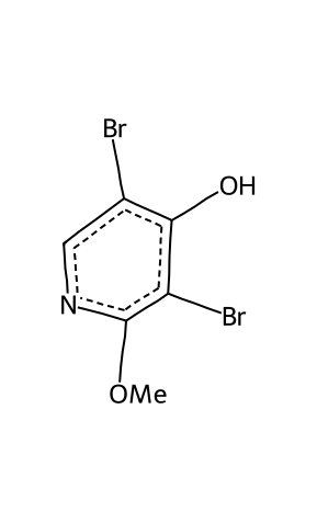 COc1ncc(Br)c(O)c1Br